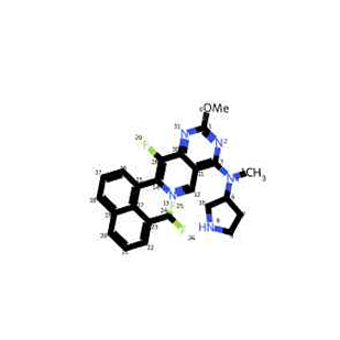 COc1nc(N(C)C2CCNC2)c2cnc(-c3cccc4cccc(C(F)F)c34)c(F)c2n1